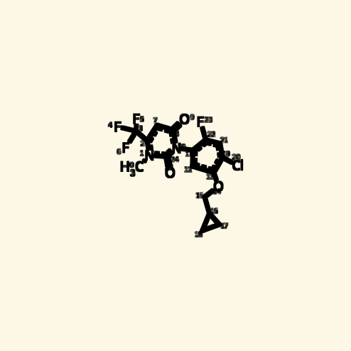 Cn1c(C(F)(F)F)cc(=O)n(-c2cc(OCC3CC3)c(Cl)cc2F)c1=O